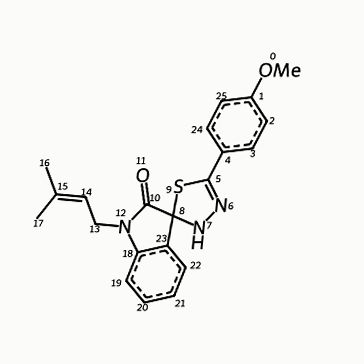 COc1ccc(C2=NNC3(S2)C(=O)N(CC=C(C)C)c2ccccc23)cc1